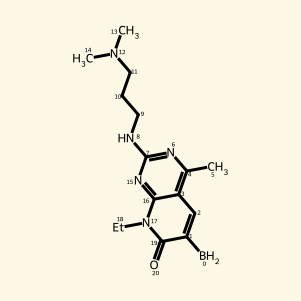 Bc1cc2c(C)nc(NCCCN(C)C)nc2n(CC)c1=O